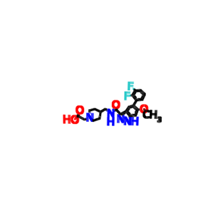 COc1cc2[nH]nc(C(=O)NCC3CCN(CC(=O)O)CC3)c2cc1-c1cccc(F)c1F